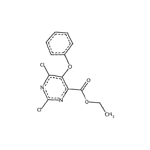 CCOC(=O)c1nc(Cl)nc(Cl)c1Oc1ccccc1